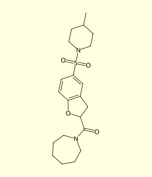 CC1CCN(S(=O)(=O)c2ccc3c(c2)CC(C(=O)N2CCCCCC2)O3)CC1